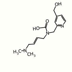 CN(C)CC=CCN(Cc1cc(CO)ccn1)C(=O)O